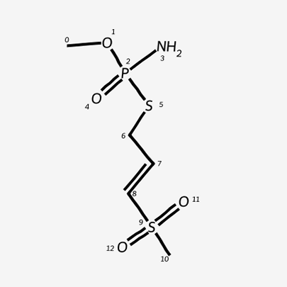 COP(N)(=O)SC/C=C/S(C)(=O)=O